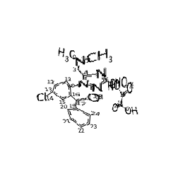 CN(C)Cc1nc(C=O)nn1-c1ccc(Cl)cc1C(=O)c1ccccc1.O=C(O)C(=O)O